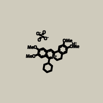 COc1cc2c(cc1OC)-c1cc3cc(OC)c(OC)cc3c(C3CCCCC3)[n+]1CC2.O=S(=O)([O-])[O-].[H+]